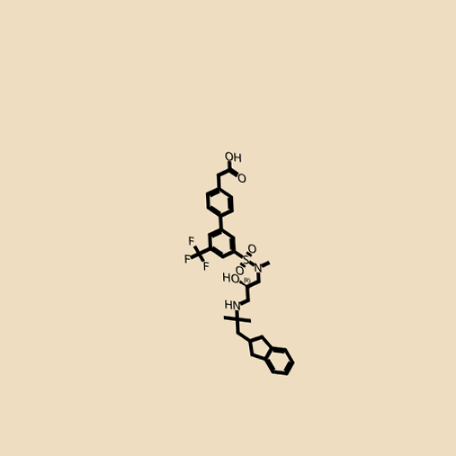 CN(C[C@H](O)CNC(C)(C)CC1Cc2ccccc2C1)S(=O)(=O)c1cc(-c2ccc(CC(=O)O)cc2)cc(C(F)(F)F)c1